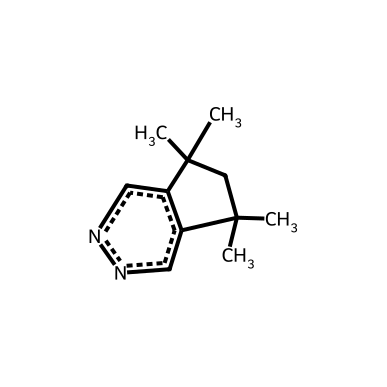 CC1(C)CC(C)(C)c2cnncc21